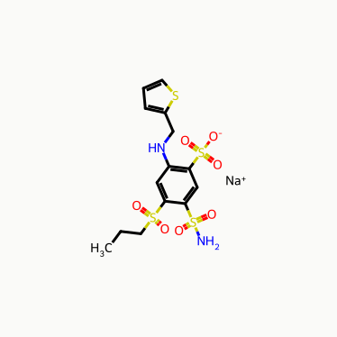 CCCS(=O)(=O)c1cc(NCc2cccs2)c(S(=O)(=O)[O-])cc1S(N)(=O)=O.[Na+]